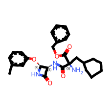 Cc1cccc(O[C@H]2NC(=O)[C@H]2NC(=O)[C@@](N)(CC2CCCCC2)C(=O)OCc2ccccc2)c1